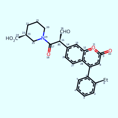 CCc1ccccc1-c1cc(=O)oc2cc([C@H](C=O)C(=O)N3CCC[C@H](C(=O)O)C3)ccc12